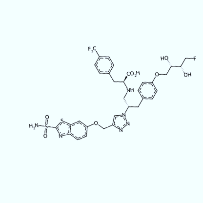 NS(=O)(=O)c1nc2ccc(OCc3cn([C@H](CN[C@@H](Cc4ccc(C(F)(F)F)cc4)C(=O)O)Cc4ccc(OC[C@H](O)[C@@H](O)CF)cc4)nn3)cc2s1